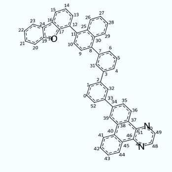 c1cc(-c2cccc(-c3ccc(-c4cccc5c4oc4ccccc45)c4ccccc34)c2)cc(-c2ccc3c(c2)c2ccccc2c2nccnc32)c1